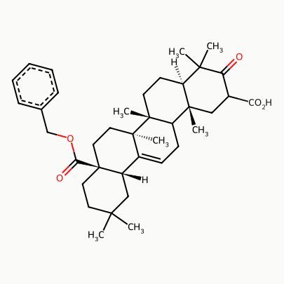 CC1(C)CC[C@]2(C(=O)OCc3ccccc3)CC[C@]3(C)C(=CCC4[C@@]5(C)CC(C(=O)O)C(=O)C(C)(C)[C@@H]5CC[C@]43C)[C@@H]2C1